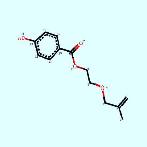 C=C(C)COCCOC(=O)c1ccc(O)cc1